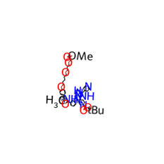 COC(=O)COCCCOCCCCCOc1ccc([C@H](C)NC(=O)c2cccc(NC3(c4nnc(-c5ccncc5)[nH]4)CCN(C(=O)OC(C)(C)C)CC3)c2)cc1